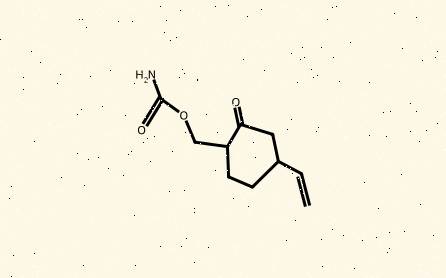 C=CC1CCC(COC(N)=O)C(=O)C1